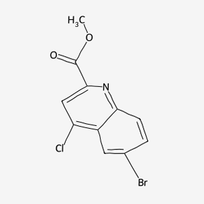 COC(=O)c1cc(Cl)c2cc(Br)ccc2n1